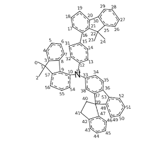 CC1(C)c2ccccc2-c2c(N(c3ccc(-c4cccc5c4C(C)(C)c4ccccc4-5)cc3)c3ccc4c(c3)C3(CCc5ccccc53)c3ccccc3-4)cccc21